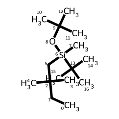 CCC(C)(C)C[Si](C)(OC(C)(C)C)C(C)(C)C